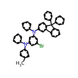 Cc1ccc(N(c2ccccc2)c2cc(Br)cc(N(c3ccccc3)c3ccc4c(c3)-c3ccccc3C4(c3ccccc3)c3ccccc3)c2)cc1